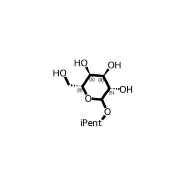 CCCC(C)OC1O[C@H](CO)[C@@H](O)[C@@H](O)[C@@H]1O